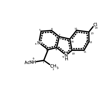 CC(=O)NC(C)c1nccc2c1[nH]c1ccc(Cl)cc12